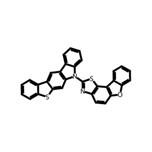 c1ccc2c(c1)oc1ccc3nc(-n4c5ccccc5c5cc6c(cc54)sc4ccccc46)sc3c12